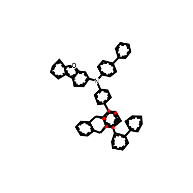 c1ccc(-c2ccc(N(c3ccc(-c4ccc(-c5ccccc5-c5ccccc5)c5c4C4c6ccccc6C5c5ccccc54)cc3)c3ccc4c(c3)oc3ccccc34)cc2)cc1